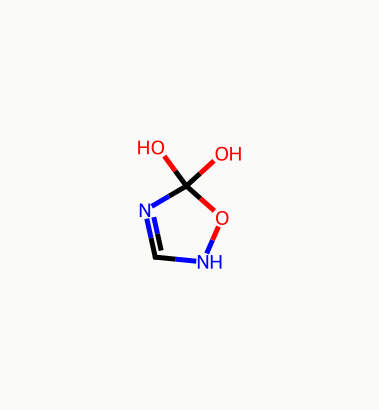 OC1(O)N=CNO1